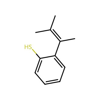 CC(C)=C(C)c1ccccc1S